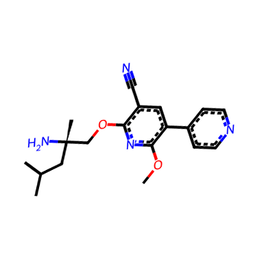 COc1nc(OC[C@@](C)(N)CC(C)C)c(C#N)cc1-c1ccncc1